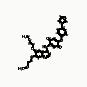 COCCOc1cc2ncnc(NC3=CC(=O)C(Oc4ccc(-n5ccnc5)cc4)=CC3=O)c2cc1OCCOC